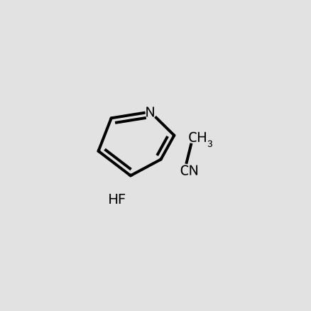 CC#N.F.c1ccncc1